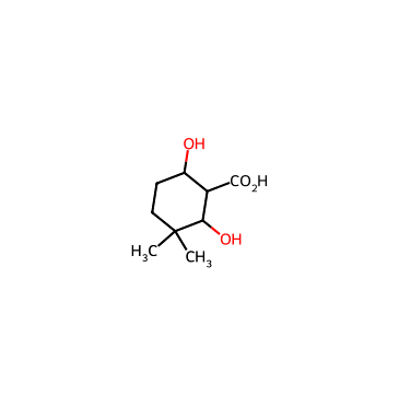 CC1(C)CCC(O)C(C(=O)O)C1O